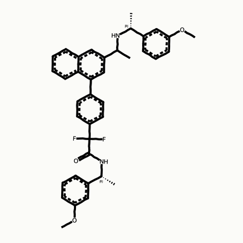 COc1cccc([C@@H](C)NC(=O)C(F)(F)c2ccc(-c3cc(C(C)N[C@H](C)c4cccc(OC)c4)cc4ccccc34)cc2)c1